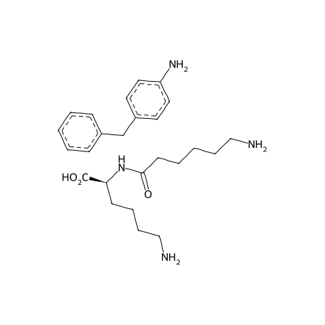 NCCCCCC(=O)N[C@@H](CCCCN)C(=O)O.Nc1ccc(Cc2ccccc2)cc1